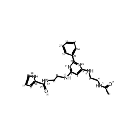 CC(=O)NCCNc1cc(NCCNC(=O)c2ccc[nH]2)nc(-c2ccccc2)n1